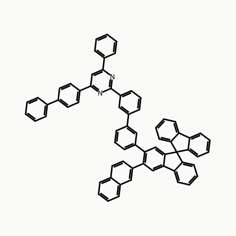 c1ccc(-c2ccc(-c3cc(-c4ccccc4)nc(-c4cccc(-c5cccc(-c6cc7c(cc6-c6ccc8ccccc8c6)-c6ccccc6C76c7ccccc7-c7ccccc76)c5)c4)n3)cc2)cc1